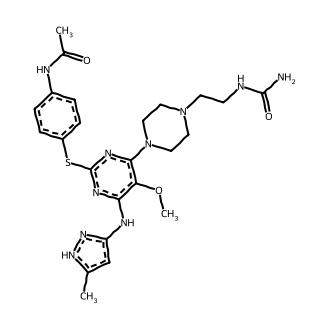 COc1c(Nc2cc(C)[nH]n2)nc(Sc2ccc(NC(C)=O)cc2)nc1N1CCN(CCNC(N)=O)CC1